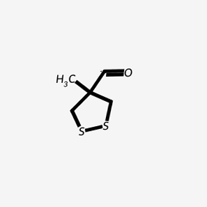 CC1([C]=O)CSSC1